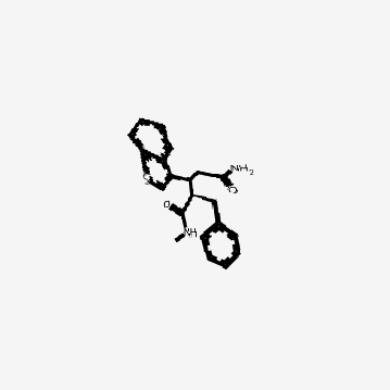 CNC(=O)[C@H](Cc1ccccc1)C(CC(N)=O)c1csc2ccccc12